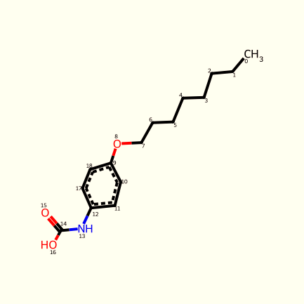 CCCCCCCCOc1ccc(NC(=O)O)cc1